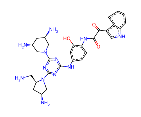 NC[C@@H]1C[C@H](N)CN1c1nc(Nc2ccc(NC(=O)C(=O)c3c[nH]c4ccccc34)c(O)c2)nc(N2C[C@H](N)C[C@H](N)C2)n1